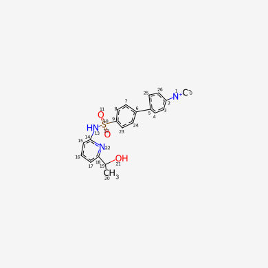 [C-]#[N+]c1ccc(-c2ccc(S(=O)(=O)Nc3cccc(C(C)O)n3)cc2)cc1